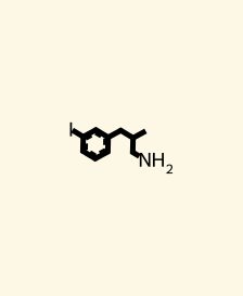 CC(CN)Cc1cccc(I)c1